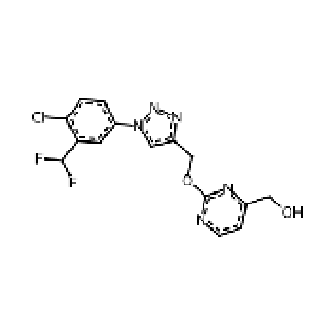 OCc1ccnc(OCc2cn(-c3ccc(Cl)c(C(F)F)c3)nn2)n1